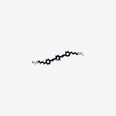 CCCCCC1CCC(C#Cc2ccc(C#CC3CCC(CCCCC)CC3)nc2)CC1